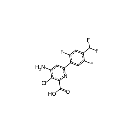 Nc1cc(-c2cc(F)c(C(F)F)cc2F)nc(C(=O)O)c1Cl